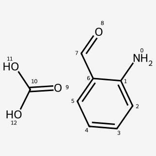 Nc1ccccc1C=O.O=C(O)O